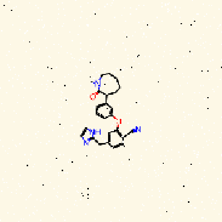 CN1CCCCCC(c2cccc(Oc3cc(Cc4ncc[nH]4)ccc3C#N)c2)C1=O